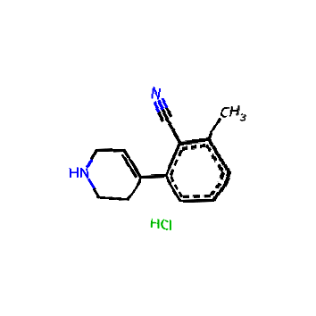 Cc1cccc(C2=CCNCC2)c1C#N.Cl